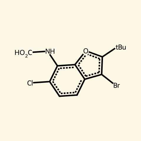 CC(C)(C)c1oc2c(NC(=O)O)c(Cl)ccc2c1Br